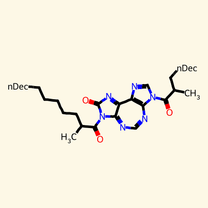 CCCCCCCCCCCCCCCC(C)C(=O)n1c2ncnc3c(ncn3C(=O)C(C)CCCCCCCCCCC)c-2nc1=O